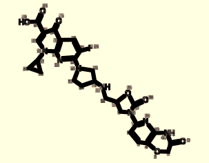 O=C1COc2ccc(N3CC(CNC4CCN(c5nc6c(cc5F)c(=O)c(C(=O)O)cn6C5CC5)C4)OC3=O)nc2N1